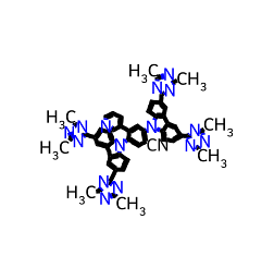 Cc1nc(C)nc(-c2ccc3c(c2)c2cc(-c4nc(C)nc(C)n4)ccc2n3-c2cc(-c3cccnc3)c(-n3c4ccc(-c5nc(C)nc(C)n5)cc4c4cc(-c5nc(C)nc(C)n5)ccc43)cc2C#N)n1